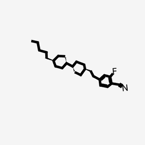 CCCCC[C@H]1CC[C@H]([C@H]2CC[C@H](CCc3ccc(C#N)c(F)c3)CC2)CC1